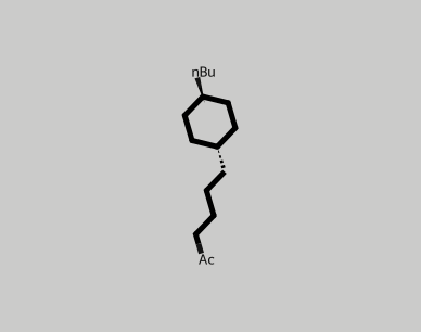 CCCC[C@H]1CC[C@H](CCCCC(C)=O)CC1